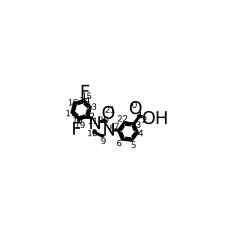 O=C(O)c1cccc(N2CCN(c3cc(F)ccc3F)C2=O)c1